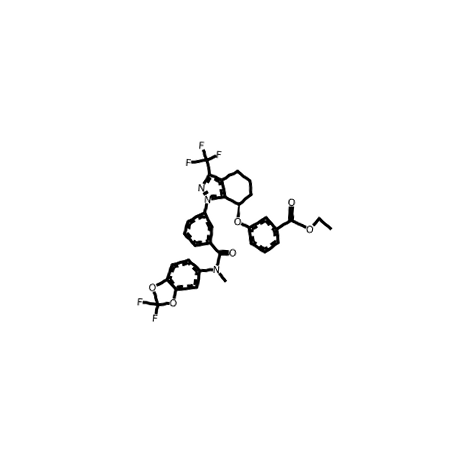 CCOC(=O)c1cccc(O[C@@H]2CCCc3c(C(F)(F)F)nn(-c4cccc(C(=O)N(C)c5ccc6c(c5)OC(F)(F)O6)c4)c32)c1